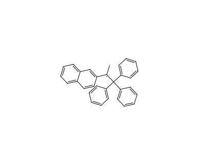 C[C](c1ccc2ccccc2c1)C(c1ccccc1)(c1ccccc1)c1ccccc1